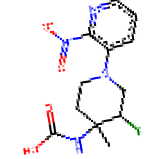 CC1(NC(=O)O)CCN(c2cccnc2[N+](=O)[O-])CC1F